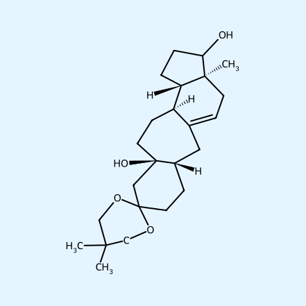 CC1(C)COC2(CC[C@H]3CC4=CC[C@]5(C)C(O)CC[C@H]5[C@@H]4CC[C@@]3(O)C2)OC1